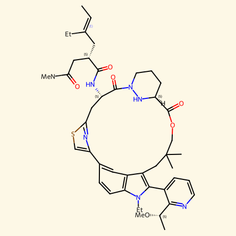 C/C=C(\CC)C[C@@H](CC(=O)NC)C(=O)N[C@H]1Cc2nc(cs2)-c2ccc3c(c2)c(c(-c2cccnc2[C@H](C)OC)n3CC)CC(C)(C)COC(=O)[C@@H]2CCCN(N2)C1=O